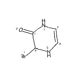 O=C1NC=CNC1Br